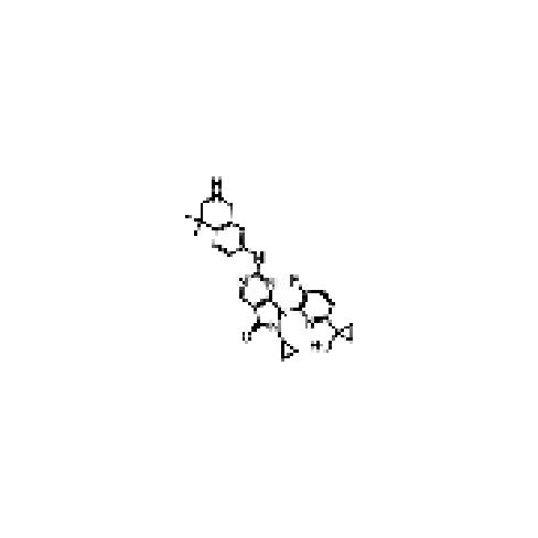 CC1(C)CNCc2cc(Nc3ncc4c(=O)n(C5CC5)n(-c5nc(C6(O)CC6)ccc5F)c4n3)ccc21